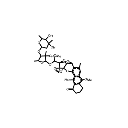 COc1c2c(c(O)c3c4c(c(C)cc13)C1OC3(C(OC)OC5OC(C)C(OC6CC(C)(O)C(O)C(C)O6)C5(C)O)OC1[C@@](OC)(O4)[C@@]31CO1)C(=O)CCC2